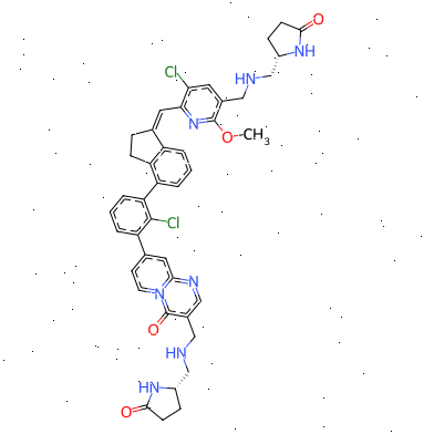 COc1nc(/C=C2/CCc3c2cccc3-c2cccc(-c3ccn4c(=O)c(CNC[C@@H]5CCC(=O)N5)cnc4c3)c2Cl)c(Cl)cc1CNC[C@@H]1CCC(=O)N1